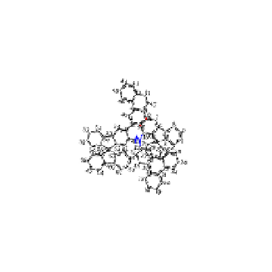 c1ccc2c(c1)-c1cccc(N(c3ccc4c5ccccc5c5ccccc5c4c3)c3cc4c(cc3-c3ccc5ccc6ccccc6c5c3)-c3ccccc3C43c4ccccc4-c4ccccc43)c1C21CCCCC1